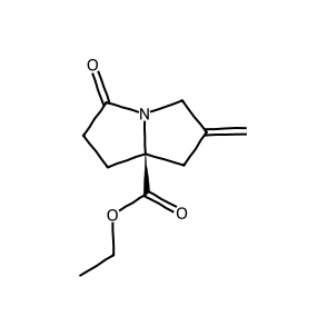 C=C1CN2C(=O)CC[C@@]2(C(=O)OCC)C1